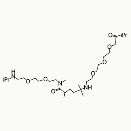 CC(C)NCCOCCOCCN(C)C(=O)C(C)CCC(C)(C)NCCOCCOCCOCC(=O)C(C)C